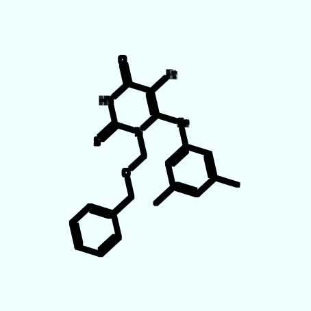 CCc1c([Se]c2cc(C)cc(C)c2)n(COCc2ccccc2)c(=S)[nH]c1=O